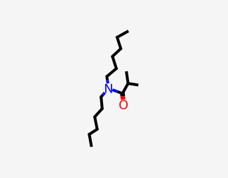 CCCCCCN(CCCCCC)C(=O)C(C)C